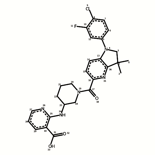 CC1(C)CN(c2ccc(Cl)c(F)c2)c2ccc(C(=O)N3CCCC(Nc4ncccc4C(=O)O)C3)nc21